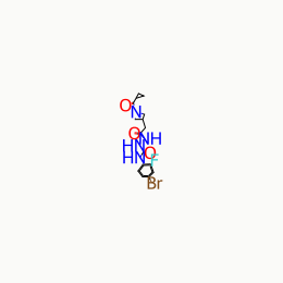 O=C(CC1CN(C(=O)C2CC2)C1)NNC(=O)Nc1ccc(Br)cc1F